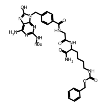 CCCCNc1nc(N)c2nc(O)n(Cc3ccc(C(=O)NCC(=O)NC(CCCCNC(=O)OCc4ccccc4)C(N)=O)cc3)c2n1